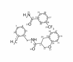 Cc1ccccc1CNC(=O)C1COc2ccccc2C1.NC(=O)c1cccc(C(F)(F)F)c1